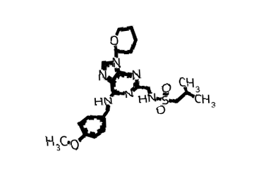 COc1ccc(CNc2nc(CNS(=O)(=O)CC(C)C)nc3c2ncn3C2CCCCO2)cc1